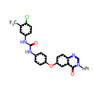 [CH2]CCn1cnc2ccc(Oc3ccc(NC(=O)Nc4ccc(Cl)c(C(F)(F)F)c4)cc3)cc2c1=O